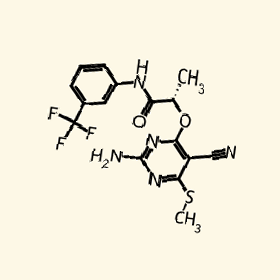 CSc1nc(N)nc(O[C@@H](C)C(=O)Nc2cccc(C(F)(F)F)c2)c1C#N